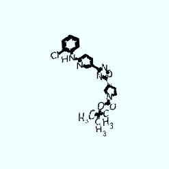 CC(C)(C)OC(=O)N1CC[C@@H](c2nc(-c3ccc(Nc4ccccc4Cl)nc3)no2)C1